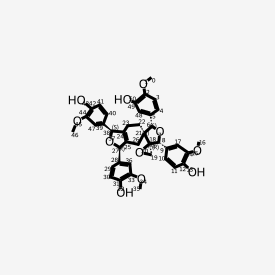 COc1ccc([C@@H]2O[C@H](c3ccc(O)c(OC)c3)[C@]3(CO3)[C@]23CCC2=C(C3)[C@@H](c3ccc(O)c(OC)c3)O[C@H]2c2ccc(O)c(OC)c2)cc1O